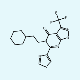 O=c1c2c(C(F)(F)F)nsc2nc(-c2cscn2)n1CCC1CCCCC1